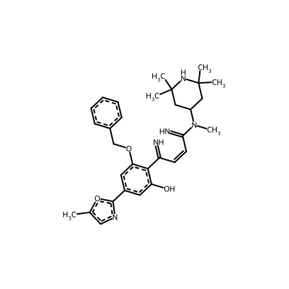 Cc1cnc(-c2cc(O)c(C(=N)/C=C\C(=N)N(C)C3CC(C)(C)NC(C)(C)C3)c(OCc3ccccc3)c2)o1